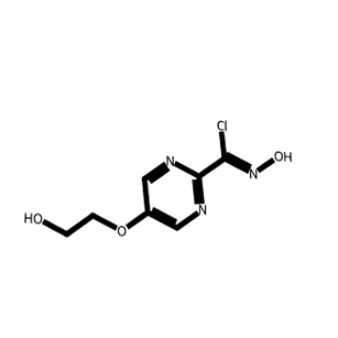 OCCOc1cnc(C(Cl)=NO)nc1